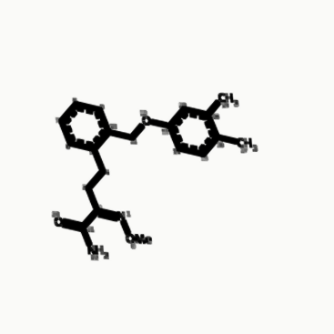 CON=C(CCc1ccccc1COc1ccc(C)c(C)c1)C(N)=O